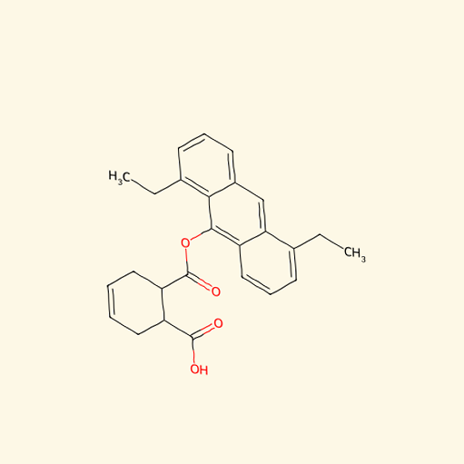 CCc1cccc2c(OC(=O)C3CC=CCC3C(=O)O)c3c(CC)cccc3cc12